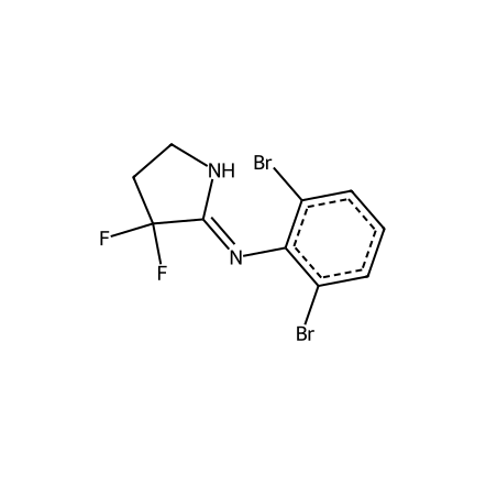 FC1(F)CCNC1=Nc1c(Br)cccc1Br